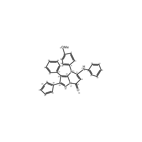 COc1ccc(-n2c(Nc3ccccc3)cc(=O)n3nc(-c4ccccc4)c(-c4ccccc4)c23)cc1